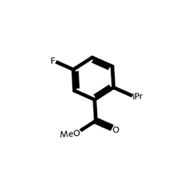 COC(=O)c1cc(F)ccc1C(C)C